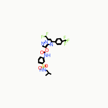 CC(C)CNS(=O)(=O)c1cccc(NC(=O)Oc2cnn3c(C(F)F)cc(-c4ccc(C(F)(F)F)cc4)nc23)c1